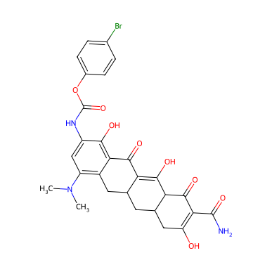 CN(C)c1cc(NC(=O)Oc2ccc(Br)cc2)c(O)c2c1CC1CC3CC(O)=C(C(N)=O)C(=O)C3C(O)=C1C2=O